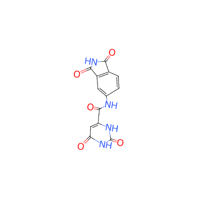 O=C(Nc1ccc2c(c1)C(=O)NC2=O)c1cc(=O)[nH]c(=O)[nH]1